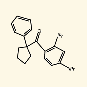 CC(C)c1[c]c(C(C)C)c(C(=O)C2(c3ccccc3)CCCC2)cc1